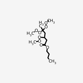 CCCCOC(=O)CC(CC(C)(OOC)OOC)OOC